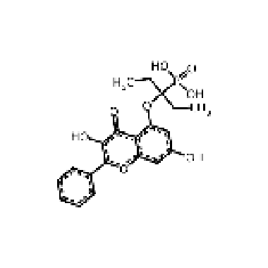 CCC(CC)(Oc1cc(O)cc2oc(-c3ccccc3)c(O)c(=O)c12)P(=O)(O)O